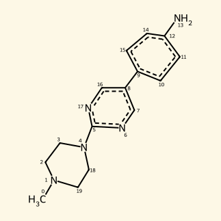 CN1CCN(c2ncc(-c3ccc(N)cc3)cn2)CC1